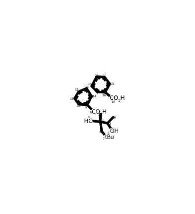 CC(O)C(C)(O)CC(C)(C)C.O=C(O)c1ccccc1.O=C(O)c1ccccc1